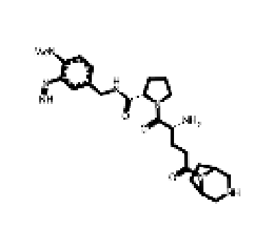 CNc1ccc(CNC(=O)[C@@H]2CCCN2C(=O)[C@H](N)CCC(=O)N2C3CCC2CNC3)cc1N=N